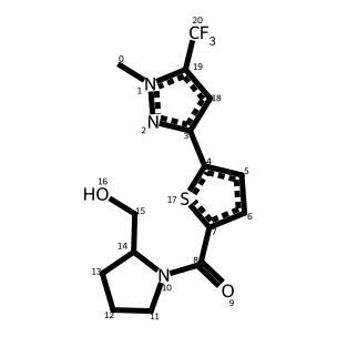 Cn1nc(-c2ccc(C(=O)N3CCCC3CO)s2)cc1C(F)(F)F